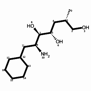 C[C@H](CO)C[C@H](O)[C@H](O)[C@@H](N)CC1CCCCC1